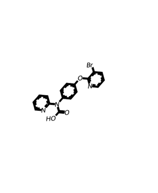 O=C(O)N(c1ccc(Oc2ncccc2Br)cc1)c1ccccn1